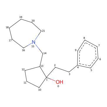 OC1(CCc2ccccc2)CCCC1CN1CCCCCC1